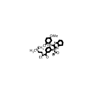 CCN(CCN(C)C)C(=O)c1cccc(N(c2nc3ccccc3nc2Nc2cc(OC)ccc2Cl)[SH](=O)=O)c1